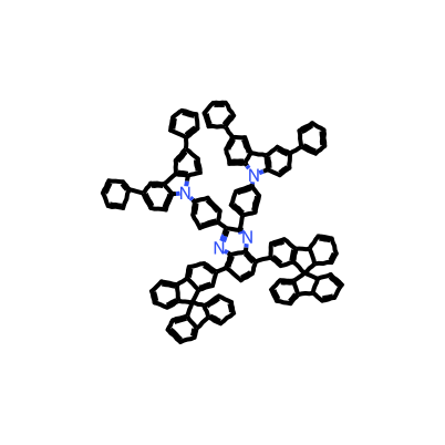 C1=CC2c3ccccc3C3(c4cc(-c5ccc(-c6ccc7c(c6)C6(c8ccccc8-c8ccccc86)c6ccccc6-7)c6nc(-c7ccc(-n8c9ccc(-c%10ccccc%10)cc9c9cc(-c%10ccccc%10)ccc98)cc7)c(-c7ccc(-n8c9ccc(-c%10ccccc%10)cc9c9cc(-c%10ccccc%10)ccc98)cc7)nc56)ccc4C4C=CC=CC43)C2C=C1